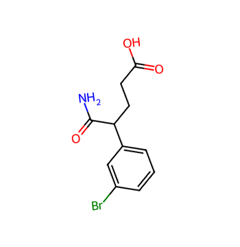 NC(=O)C(CCC(=O)O)c1cccc(Br)c1